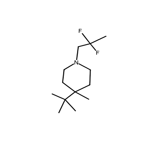 CC(F)(F)CN1CCC(C)(C(C)(C)C)CC1